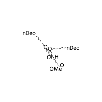 CCCCCCCCCCCCCCCCCCOC[C@H](COC(=O)NCCCCCC(=O)OC)OCCCCCCCCCCCCCCCCCC